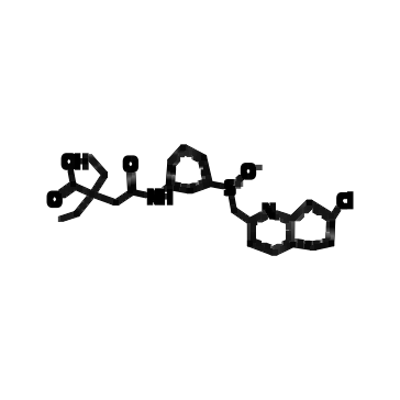 CCC(CC)(CC(=O)Nc1cccc([S+]([O-])Cc2ccc3ccc(Cl)cc3n2)c1)C(=O)O